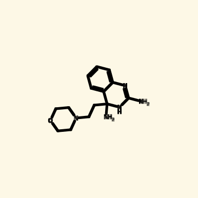 NC1=Nc2ccccc2C(N)(CCN2CCOCC2)N1